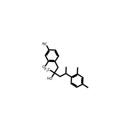 Cc1ccc(C(C)CC(O)(Cc2ccc(C#N)cc2Cl)C(F)(F)F)c(C)c1